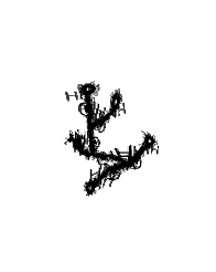 CC(C)c1cn(CCCN(CCC(=O)NCCN(CCC(=O)NCCNC2CCCCC2)CCC(=O)NCCNC2CCCCC2)CCC(=O)NCCN(CCC(=O)NCCNC2CCCCC2)CCC(=O)NCCNC2CCCCC2)nn1